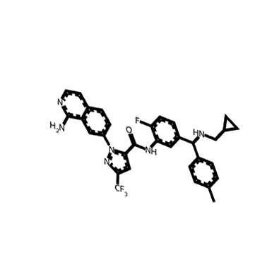 Cc1ccc(C(NCC2CC2)c2ccc(F)c(NC(=O)c3cc(C(F)(F)F)nn3-c3ccc4ccnc(N)c4c3)c2)cc1